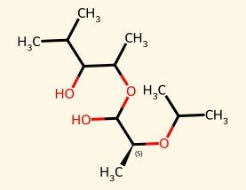 CC(C)O[C@@H](C)C(O)OC(C)C(O)C(C)C